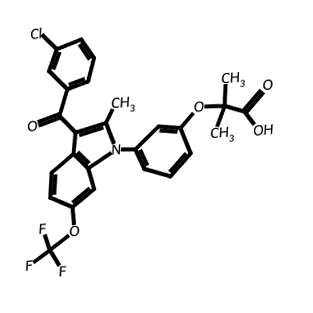 Cc1c(C(=O)c2cccc(Cl)c2)c2ccc(OC(F)(F)F)cc2n1-c1cccc(OC(C)(C)C(=O)O)c1